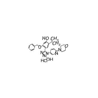 CC(C)c1cc(-c2nnc(O)n2-c2ccc(N3CCOCC3)nc2)c(OCc2ccccc2)cc1O.Cl